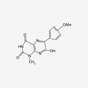 COc1ccc(-c2nc3c(=O)[nH]c(=O)n(C)c3nc2O)cc1